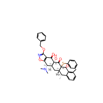 Cc1cccc2c1C(=O)[C@@]1(Sc3ccccc3)C(=O)[C@]3(O)C(=O)c4c(OCc5ccccc5)noc4[C@@H](N(C)C)[C@@H]3C[C@H]1[C@H]2C